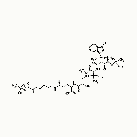 C/C(=C\CN(C)C(=O)C(NC(=O)[C@@H](N(C)C(=O)OC(C)(C)C)C(C)(C)c1cn(C)c2ccccc12)C(C)(C)C)C(=O)N[C@H](CCC(=O)NCCCCCNC(=O)OC(C)(C)C)C(=O)O